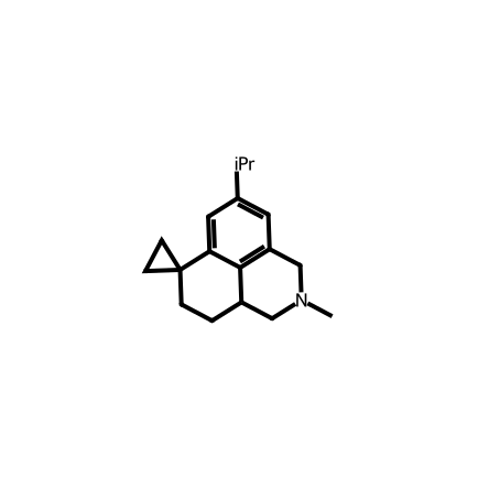 CC(C)c1cc2c3c(c1)C1(CCC3CN(C)C2)CC1